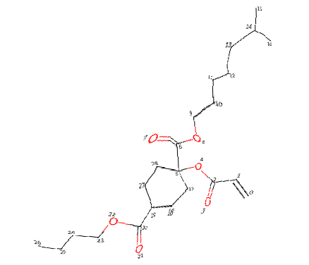 C=CC(=O)OC1(C(=O)OCCCCCC(C)C)CCC(C(=O)OCCCC)CC1